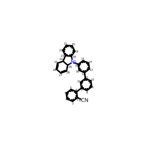 N#Cc1ccccc1-c1cccc(-c2cccc(N3c4ccccc4C4C=CC=CC43)c2)c1